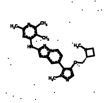 Cc1nc(C)c(C)c(Nc2cc3cc(-c4c(OC[C@H]5CCN5C)cnn4C)ccn3n2)n1